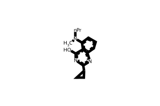 CCCN(C)c1cccc2nc(C3CC3)nc(O)c12